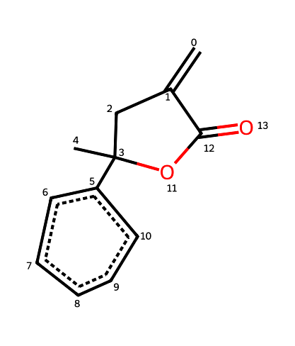 C=C1CC(C)(c2ccccc2)OC1=O